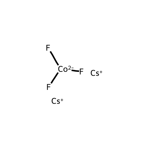 [Cs+].[Cs+].[F][Co-2]([F])[F]